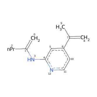 C=C(CCC)Nc1cc(C(=C)C)ccn1